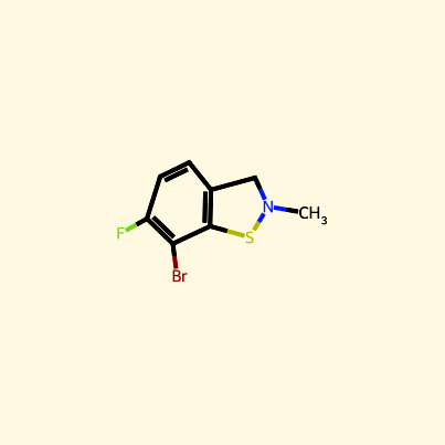 CN1Cc2ccc(F)c(Br)c2S1